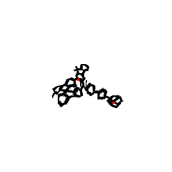 Cc1ccc2c(c1)C1(c3ccccc3-c3ccc(N(c4ccc(-c5ccc(C67CC8CC(CC(C8)C6)C7)cc5)cc4)c4ccc5c(c4)-c4ccccc4C5(C)C)cc31)c1cc(C)ccc1-2